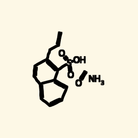 C=CCc1ccc2ccccc2c1S(=O)(=O)O.C=O.N